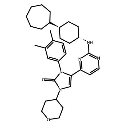 Cc1ccc(-n2c(-c3ccnc(N[C@H]4CC[C@H](C5CCCCCC5)CC4)n3)cn(C3CCOCC3)c2=O)cc1C